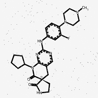 CN1CCN(c2ccc(Nc3ncc4c(n3)N(C3CCCC3)C(=O)[C@]3(CCNC3=O)C4)cc2F)CC1